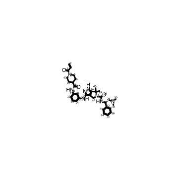 C=CC(=O)N1CCC(C(=O)Nc2cccc(Nc3n[nH]c4c3CN(C(=O)N[C@H](CN(C)C)c3ccccc3)C4(C)C)c2)CC1